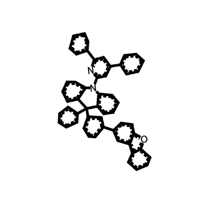 c1ccc(-c2cc(-c3ccccc3)nc(N3c4ccccc4C(c4ccccc4)(c4cccc(-c5ccc6oc7ccccc7c6c5)c4)c4ccccc43)c2)cc1